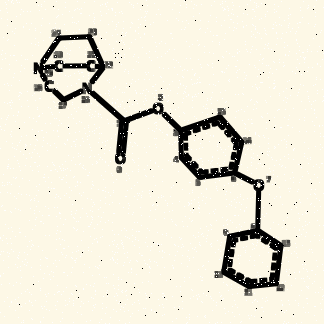 O=C(Oc1ccc(Oc2ccccc2)cc1)N1CCN2CCC1CC2